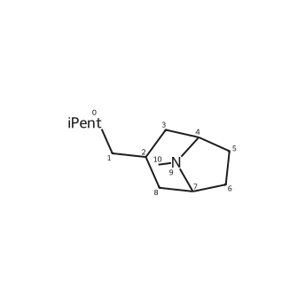 CCCC(C)CC1CC2CCC(C1)N2C